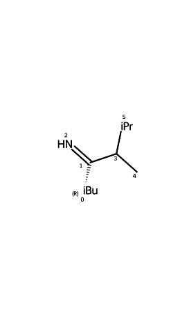 CC[C@@H](C)C(=N)C(C)C(C)C